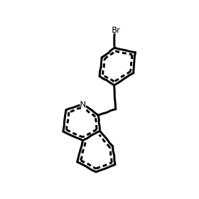 Brc1ccc(Cc2nccc3ccccc23)cc1